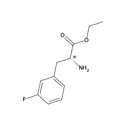 CCOC(=O)[C@H](N)Cc1cccc(F)c1